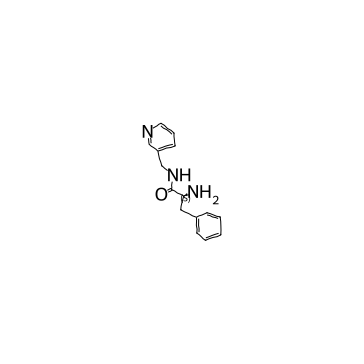 N[C@@H](Cc1ccccc1)C(=O)NCc1cccnc1